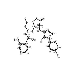 C=C1CC[C@H](CC(CCC)NC(=O)c2ccccc2O)[C@@]1(C)Cc1cnn(-c2ccc(F)cc2)c1C